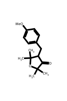 COc1ccc(CC2C(=O)C(C)(C)OC2(C)C)cc1